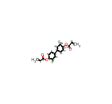 C=CC(=O)Oc1ccc(-c2ccc(OC(=O)C=C)c(F)c2)cc1F